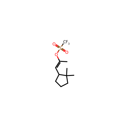 C/C(=C\C1CCCC1(C)C)OS(=O)(=O)C(F)(F)F